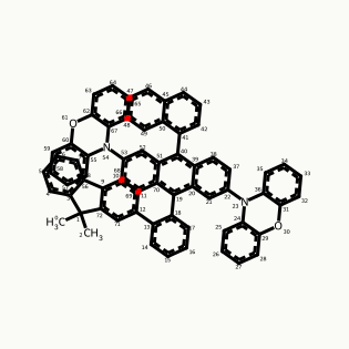 CC1(C)c2ccccc2-c2ccc(-c3ccccc3-c3c4cc(N5c6ccccc6Oc6ccccc65)ccc4c(-c4cccc5ccccc45)c4cc(N5c6ccccc6Oc6ccccc65)ccc34)cc21